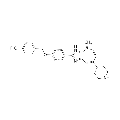 C=C1C=CC(C2CCNCC2)=Cc2nc(-c3ccc(OCc4ccc(C(F)(F)F)cc4)cc3)[nH]c21